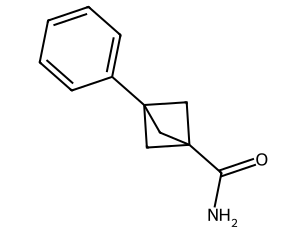 NC(=O)C12CC(c3ccccc3)(C1)C2